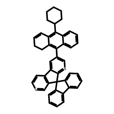 C1=Cc2c(c(-c3cnc4c(c3)-c3ccncc3C43c4ccccc4-c4ccccc43)c3ccccc3c2C2CCCCC2)CC1